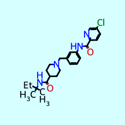 CCC(C)(C)NC(=O)C1CCN(Cc2cccc(NC(=O)c3ccc(Cl)cn3)c2)CC1